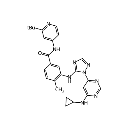 Cc1ccc(C(=O)Nc2ccnc(C(C)(C)C)c2)cc1Nc1ncnn1-c1cc(NC2CC2)ncn1